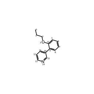 CCCOc1ccccc1-c1cccnc1